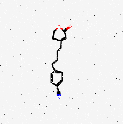 N#Cc1ccc(CCCCC2=CC(=O)OCC2)cc1